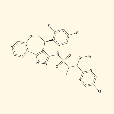 CC(C)OC(c1ncc(Cl)cn1)C(C)S(=O)(=O)Nc1nnc2n1[C@H](c1ccc(F)cc1F)COc1cnccc1-2